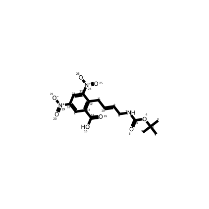 CC(C)(C)OC(=O)NCC=CCc1c(C(=O)O)cc([N+](=O)[O-])cc1[N+](=O)[O-]